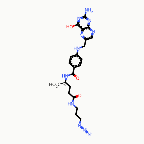 [N-]=[N+]=NCCCNC(=O)CC[C@H](NC(=O)c1ccc(NCc2cnc3nc(N)nc(O)c3n2)cc1)C(=O)O